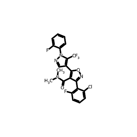 CN(C)C(=O)c1c(-c2c(F)cccc2Cl)noc1-c1cnn(-c2ccccc2F)c1C(F)(F)F